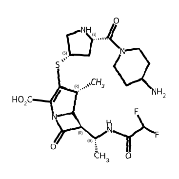 C[C@H]1C(S[C@@H]2CN[C@H](C(=O)N3CCC(N)CC3)C2)=C(C(=O)O)N2C(=O)[C@H]([C@@H](C)NC(=O)C(F)F)C12